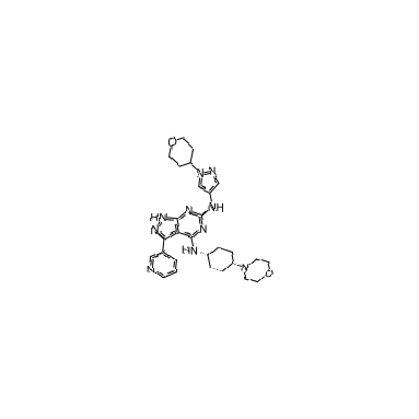 c1cncc(-c2n[nH]c3nc(Nc4cnn(C5CCOCC5)c4)nc(N[C@H]4CC[C@H](N5CCOCC5)CC4)c23)c1